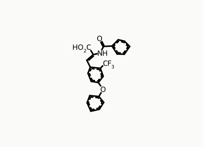 O=C(O)C(=Cc1ccc(Oc2ccccc2)cc1C(F)(F)F)NC(=O)c1ccccc1